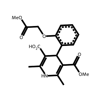 COC(=O)COc1ccccc1C1C(C(=O)O)=C(C)NC(C)=C1C(=O)OC